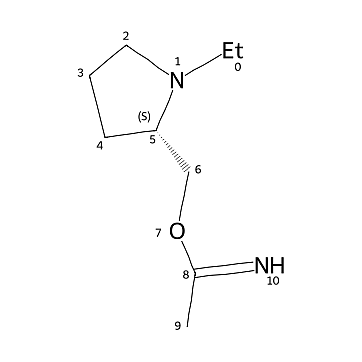 CCN1CCC[C@H]1COC(C)=N